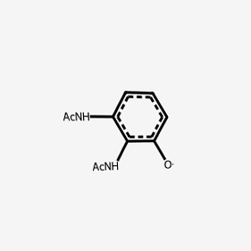 CC(=O)Nc1cccc([O])c1NC(C)=O